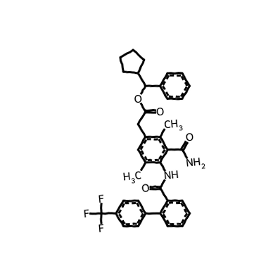 Cc1cc(CC(=O)OC(c2ccccc2)C2CCCC2)c(C)c(C(N)=O)c1NC(=O)c1ccccc1-c1ccc(C(F)(F)F)cc1